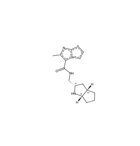 Cc1nc2sccn2c1C(=O)NC[C@@H]1C[C@@H]2CCC[C@@H]2N1